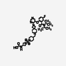 CC(C)N(C(=O)c1cc(F)ccc1Oc1cncnc1N1CC2(CCN(CC3CCN(S(=O)(=O)N4CC(NC(=O)O)C4)CC3)CC2)C1)C(C)C